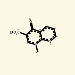 CCOC(=O)c1cn(C)c2ncccc2c1=O